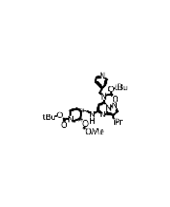 COCO[C@H]1CN(C(=O)OC(C)(C)C)CC[C@@H]1CNc1cc(N(Cc2ccncc2)C(=O)OC(C)(C)C)n2ncc(C(C)C)c2n1